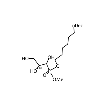 CCCCCCCCCCCCCCCCOP(=O)(OC)C(O)[C@@H](O)CO